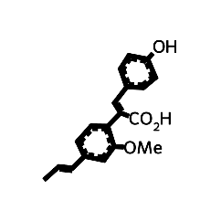 CC=Cc1ccc(C(=Cc2ccc(O)cc2)C(=O)O)c(OC)c1